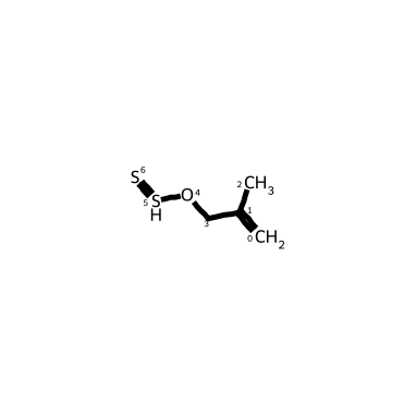 C=C(C)CO[SH]=S